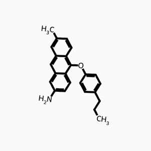 CCCc1ccc(Oc2c3ccc(C)cc3cc3cc(N)ccc23)cc1